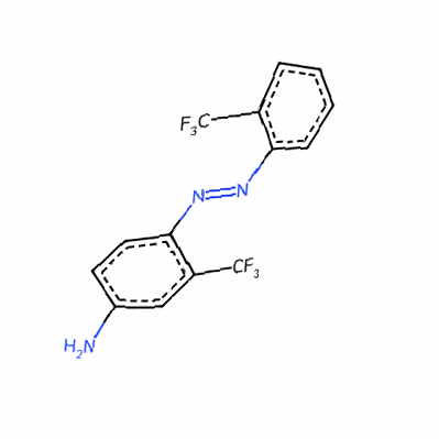 Nc1ccc(N=Nc2ccccc2C(F)(F)F)c(C(F)(F)F)c1